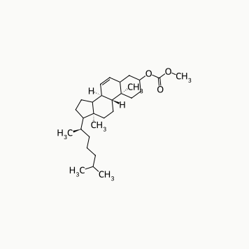 COC(=O)OC1CC[C@]2(C)C(C=C[C@@H]3C4CCC([C@H](C)CCCC(C)C)[C@]4(C)CC[C@H]32)C1